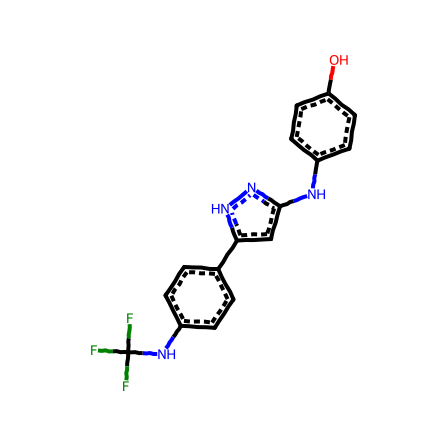 Oc1ccc(Nc2cc(-c3ccc(NC(F)(F)F)cc3)[nH]n2)cc1